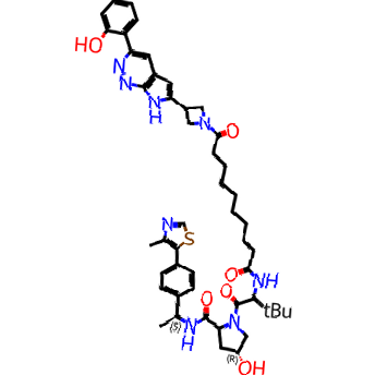 Cc1ncsc1-c1ccc([C@H](C)NC(=O)C2C[C@@H](O)CN2C(=O)C(NC(=O)CCCCCCCCC(=O)N2CC(c3cc4cc(-c5ccccc5O)nnc4[nH]3)C2)C(C)(C)C)cc1